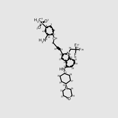 CS(=O)(=O)c1ccc(OCC#Cc2cc3c(N[C@H]4CC[C@H](N5CCOCC5)CC4)cccc3n2CC(F)(F)F)c(N)c1